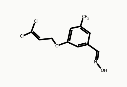 ON=Cc1cc(OCC=C(Cl)Cl)cc(C(F)(F)F)c1